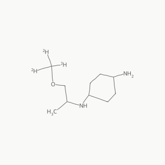 [2H]C([2H])([2H])OCC(C)NC1CCC(N)CC1